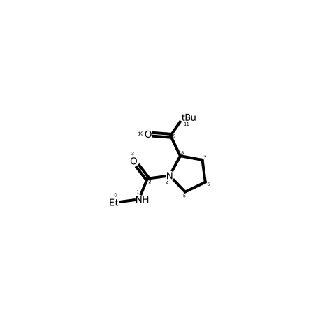 CCNC(=O)N1CCCC1C(=O)C(C)(C)C